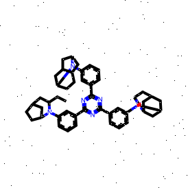 CCC1CC2CCC(C2)N1c1cccc(-c2nc(-c3cccc(N4C5CC6CC(C5)CC4C6)c3)nc(-c3cccc(N4C5CCC6CC4CC6C5)c3)n2)c1